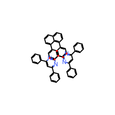 c1ccc(-c2cc(-c3ccccc3)nc(-c3cccc(-c4cccc5cccc(-c6cccc(-c7nc(-c8ccccc8)cc(-c8ccccc8)n7)c6)c45)c3)n2)cc1